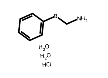 Cl.NC[B]c1ccccc1.O.O